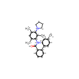 Cc1cc(C)c(N2CCCC2)c(C)c1NC(=O)c1ccccc1-c1ccc(C(F)(F)F)cc1